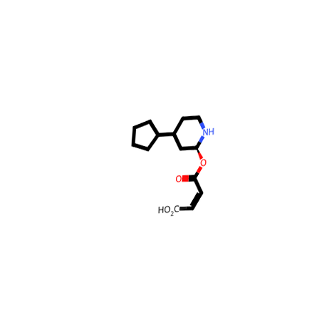 O=C(O)/C=C\C(=O)O[C@H]1CC(C2CCCC2)CCN1